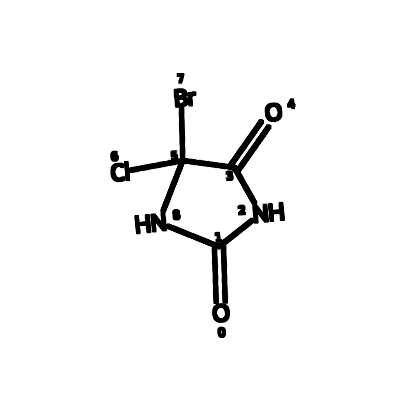 O=C1NC(=O)C(Cl)(Br)N1